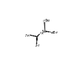 CC(=O)[C](C(C)=O)C(C)=O.CCC[CH2][Sn][CH2]CCC